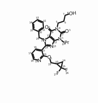 CC(C)n1c(=O)n(CCCO)c(=O)c2c1nc(-c1cccnc1OCC1CC1(F)F)n2Cc1ccccc1